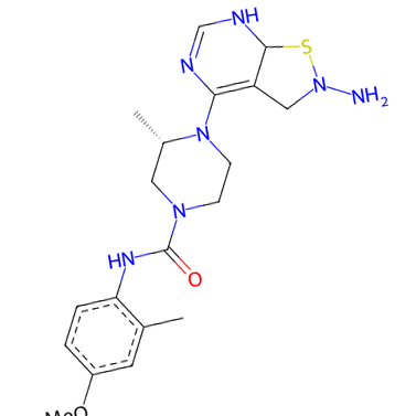 COc1ccc(NC(=O)N2CCN(C3=C4CN(N)SC4NC=N3)[C@@H](C)C2)c(C)c1